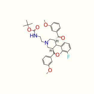 COc1cccc(C(=O)[C@H]2CN(CCNC(=O)OC(C)(C)C)C[C@H](C(=O)c3cccc(OC)c3)C2c2cccc(F)c2C)c1